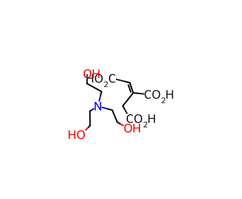 O=C(O)C=C(CC(=O)O)C(=O)O.OCCN(CCO)CCO